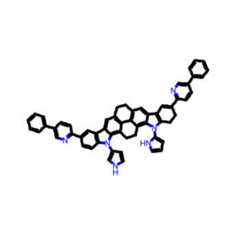 C1=C(c2ccc(-c3ccccc3)cn2)CCc2c1c1cc3c4c(c1n2-c1ccc[nH]1)CCc1c-4c(cc2c4cc(-c5ccc(-c6ccccc6)cn5)ccc4n(-c4cc[nH]c4)c12)CC3